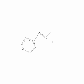 O=C(O)C(O)=Cc1ccccc1.[La]